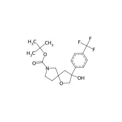 CC(C)(C)OC(=O)N1CCC2(C1)CC(O)(c1ccc(C(F)(F)F)cc1)CO2